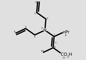 C=CCN(CC=C)/C(CCC)=C(\C)C(=O)O